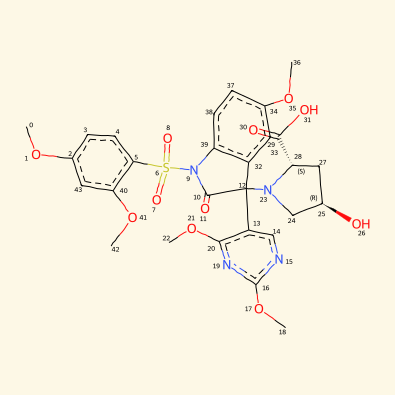 COc1ccc(S(=O)(=O)N2C(=O)C(c3cnc(OC)nc3OC)(N3C[C@H](O)C[C@H]3C(=O)O)c3cc(OC)ccc32)c(OC)c1